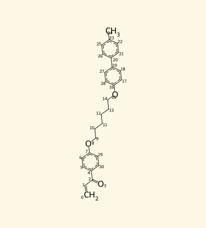 C=CC(=O)c1ccc(OCCCCCCOc2ccc(-c3ccc(C)cc3)cc2)cc1